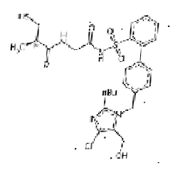 CCCCc1nc(Cl)c(CO)n1Cc1ccc(-c2ccccc2S(=O)(=O)NC(=O)CNC(=O)[C@@H](C)CS)cc1